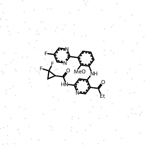 CCC(=O)c1cnc(NC(=O)C2CC2(F)F)cc1Nc1cccc(-c2ncc(F)cn2)c1OC